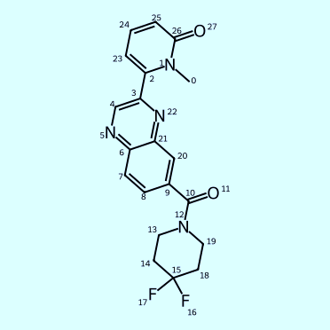 Cn1c(-c2cnc3ccc(C(=O)N4CCC(F)(F)CC4)cc3n2)cccc1=O